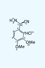 COc1ccc([C@@H](N)C#N)cc1OC.Cl